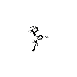 C=CCOC(=O)N1C[C@@H](S)C[C@H]1/C=C1\CCNC1=O